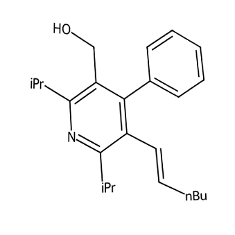 CCCC/C=C/c1c(C(C)C)nc(C(C)C)c(CO)c1-c1ccccc1